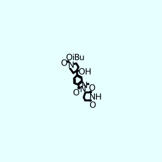 CC(C)COC(=O)N1CCC(O)(c2ccc3c(=O)n(C4CCC(=O)NC4=O)n(C)c3c2)CC1